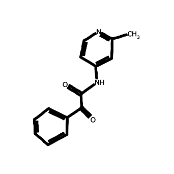 Cc1cc(NC(=O)C(=O)c2ccccc2)ccn1